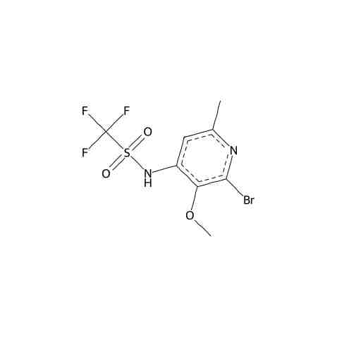 COc1c(NS(=O)(=O)C(F)(F)F)cc(C)nc1Br